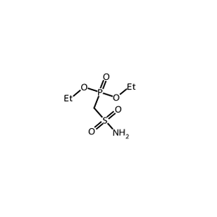 CCOP(=O)(CS(N)(=O)=O)OCC